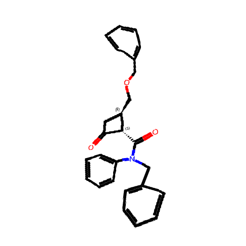 O=C1C[C@@H](COCc2ccccc2)[C@@H]1C(=O)N(Cc1ccccc1)c1ccccc1